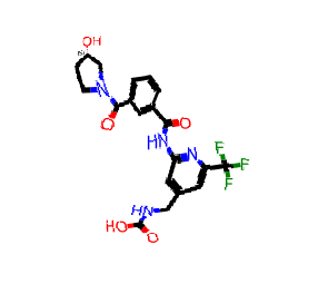 O=C(O)NCc1cc(NC(=O)c2cccc(C(=O)N3CC[C@H](O)C3)c2)nc(C(F)(F)F)c1